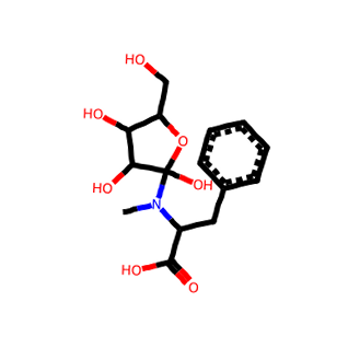 CN(C(Cc1ccccc1)C(=O)O)C1(O)OC(CO)C(O)C1O